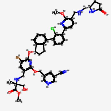 COC(=O)[C@@](C)(CO)NCc1cc(Br)c(O[C@H]2CCc3c(-c4cccc(-c5ccc(CNC[C@@H]6CCC(=O)N6)c(OC)n5)c4Cl)cccc32)nc1OCc1cncc(C#N)c1